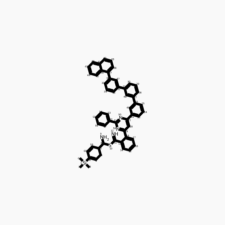 C[Si](C)(C)C1=CCC(C(N)SC(=N)c2ccccc2-c2cc(-c3cccc(-c4cccc(-c5cccc(-c6cccc7ccccc67)c5)c4)c3)nc(-c3ccccc3)n2)C=C1